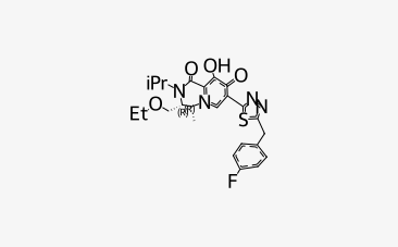 CCOC[C@H]1[C@@H](C)n2cc(-c3nnc(Cc4ccc(F)cc4)s3)c(=O)c(O)c2C(=O)N1C(C)C